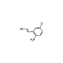 N#C/C=C/c1cc(Cl)ccc1N